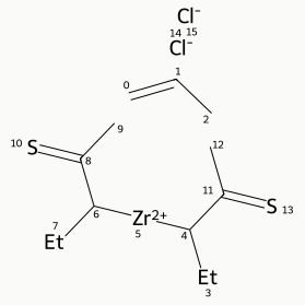 C=CC.CC[CH]([Zr+2][CH](CC)C(C)=S)C(C)=S.[Cl-].[Cl-]